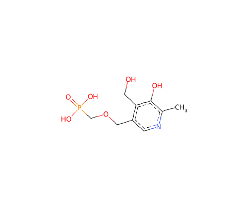 Cc1ncc(COCP(=O)(O)O)c(CO)c1O